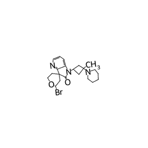 CC1(N2CCCCC2)CC(N2C(=O)C3(CCOC(Br)C3)c3ncccc32)C1